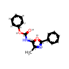 Cc1nc(-c2ccccc2)oc1NC(=O)Oc1ccccc1